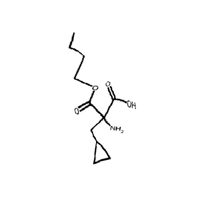 CCCCOC(=O)C(N)(CC1CC1)C(=O)O